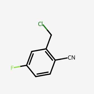 N#Cc1ccc(F)cc1CCl